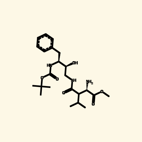 COC(=O)[C@@H](N)C(C(=O)NC[C@H](O)[C@H](Cc1ccccc1)NC(=O)OC(C)(C)C)C(C)C